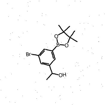 CC(O)c1cc(Br)cc(B2OC(C)(C)C(C)(C)O2)c1